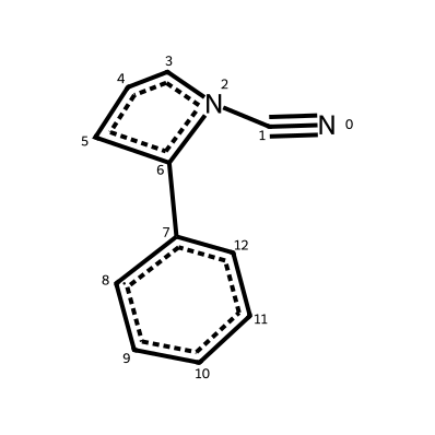 N#Cn1cccc1-c1[c]cccc1